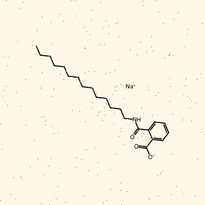 CCCCCCCCCCCCCCNC(=O)c1ccccc1C(=O)[O-].[Na+]